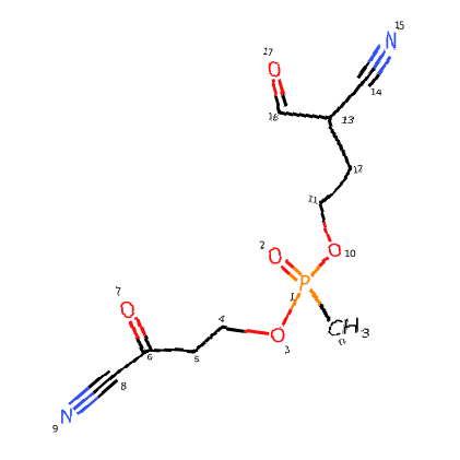 CP(=O)(OCCC(=O)C#N)OCCC(C#N)C=O